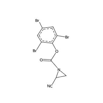 N#CC1CN1C(=O)Oc1c(Br)cc(Br)cc1Br